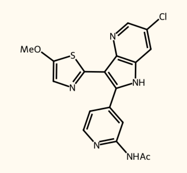 COc1cnc(-c2c(-c3ccnc(NC(C)=O)c3)[nH]c3cc(Cl)cnc23)s1